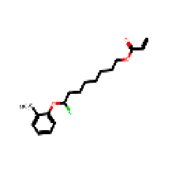 C=CC(=O)OCCCCCCCC(Cl)Oc1ccccc1C(=O)O